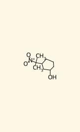 CC(C)(C1CCCC(O)C1)[N+](=O)[O-]